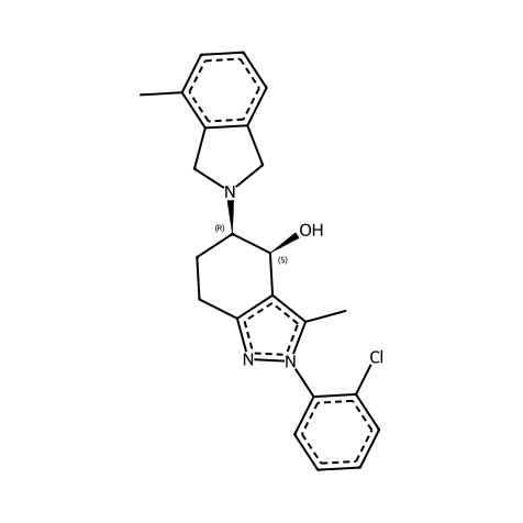 Cc1cccc2c1CN([C@@H]1CCc3nn(-c4ccccc4Cl)c(C)c3[C@@H]1O)C2